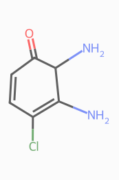 NC1=C(Cl)C=CC(=O)C1N